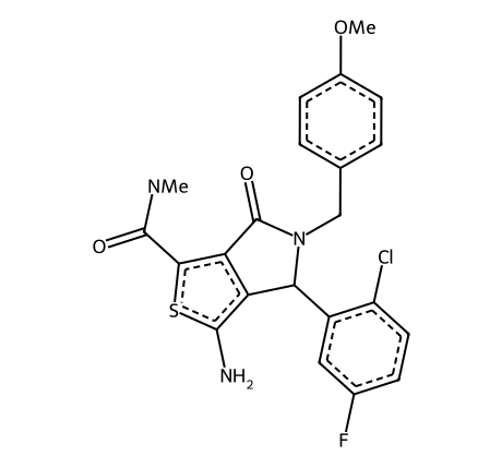 CNC(=O)c1sc(N)c2c1C(=O)N(Cc1ccc(OC)cc1)C2c1cc(F)ccc1Cl